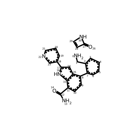 NCc1ccccc1-c1ccc(C(N)=O)c2[nH]c(-c3cccnc3)cc12.O=C1C=CN1